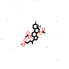 COC(=O)CCC(C)C1CCC2C3C(OC(C)=O)C[C@@H]4C[C@H](C)CC[C@]4(C)C3C[C@H](OC(C)=O)[C@]12C